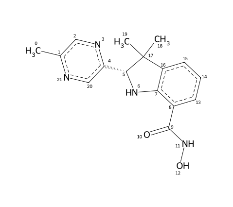 Cc1cnc([C@H]2Nc3c(C(=O)NO)cccc3C2(C)C)cn1